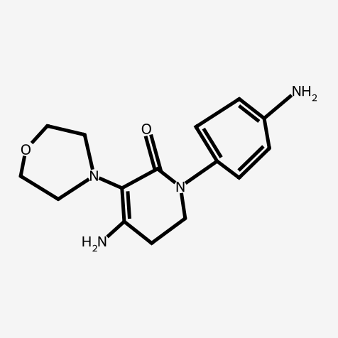 NC1=C(N2CCOCC2)C(=O)N(c2ccc(N)cc2)CC1